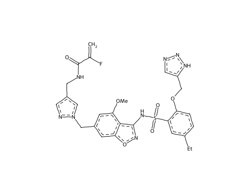 C=C(F)C(=O)NCc1cnn(Cc2cc(OC)c3c(NS(=O)(=O)c4cc(CC)ccc4OCc4cnn[nH]4)noc3c2)c1